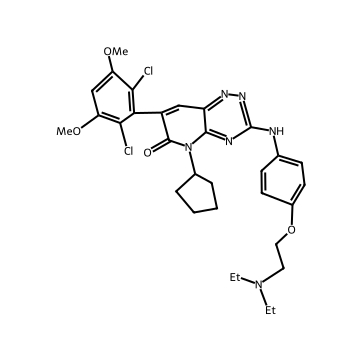 CCN(CC)CCOc1ccc(Nc2nnc3cc(-c4c(Cl)c(OC)cc(OC)c4Cl)c(=O)n(C4CCCC4)c3n2)cc1